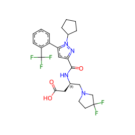 O=C(O)C[C@H](CN1CCC(F)(F)C1)NC(=O)c1cc(-c2ccccc2C(F)(F)F)n(C2CCCC2)n1